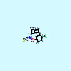 S=C=NOc1ccc(Cl)cc1.c1cc2ccc1-2